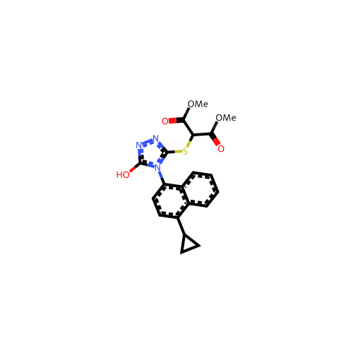 COC(=O)C(Sc1nnc(O)n1-c1ccc(C2CC2)c2ccccc12)C(=O)OC